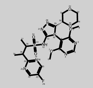 COc1ncnc(OC)c1-n1c(NS(=O)(=O)C(C)C(C)c2ncc(F)cn2)nnc1[C@@H]1COCCO1